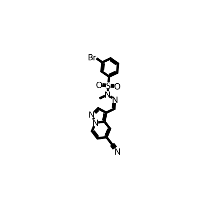 CN(/N=C\c1cnn2ccc(C#N)cc12)S(=O)(=O)c1cccc(Br)c1